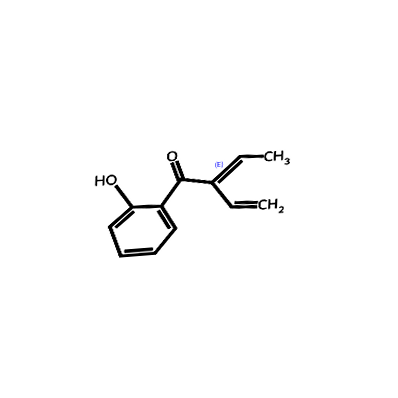 C=C/C(=C\C)C(=O)c1ccccc1O